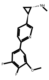 CN[C@H]1C[C@@H]1c1ccc(-c2cc(F)c(F)c(OC)c2)nc1